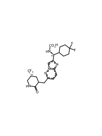 O=C(O)N[C@H](c1cn2nc(CC3C[C@@H](C(F)(F)F)CNC3=O)ccc2n1)C1CCC(F)(F)CC1